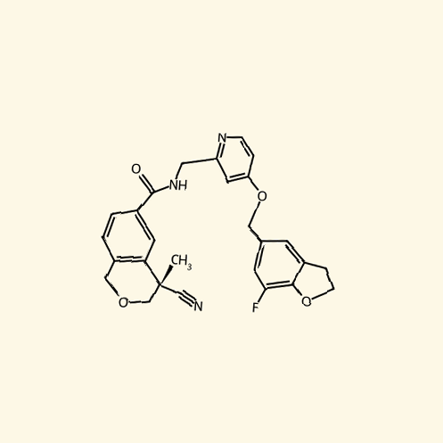 C[C@@]1(C#N)COCc2ccc(C(=O)NCc3cc(OCc4cc(F)c5c(c4)CCO5)ccn3)cc21